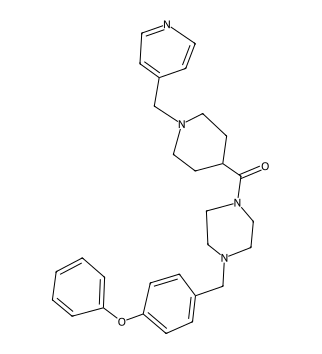 O=C(C1CCN(Cc2ccncc2)CC1)N1CCN(Cc2ccc(Oc3ccccc3)cc2)CC1